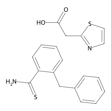 NC(=S)c1ccccc1Cc1ccccc1.O=C(O)Cc1nccs1